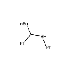 CCCCC(BC(C)C)CC